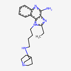 CCc1nc2c(N)nc3ccccc3c2n1CCCCNC1CN2CCC1CC2